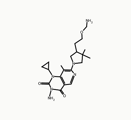 Cc1c(N2CC(CCOCN)C(C)(C)C2)ncc2c(=O)n(N)c(=O)n(C3CC3)c12